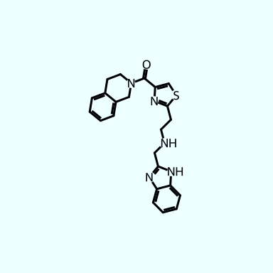 O=C(c1csc(CCNCc2nc3ccccc3[nH]2)n1)N1CCc2ccccc2C1